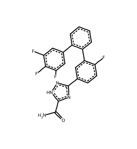 NC(=O)c1nc(-c2ccc(F)c(-c3ccccc3-c3cc(F)c(F)c(F)c3)c2)n[nH]1